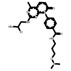 CCCCC(CC)CNc1nc(C)c2ccc(=O)n(-c3ccc(C(=O)NCCCON(C)C)cc3)c2n1